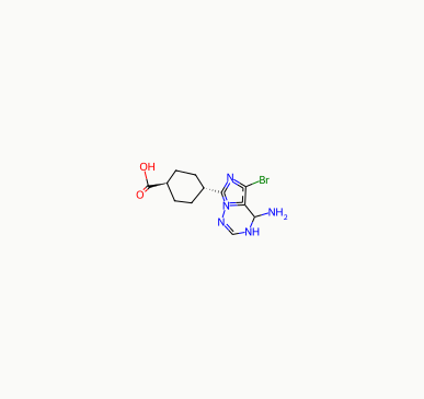 NC1NC=Nn2c1c(Br)nc2[C@H]1CC[C@H](C(=O)O)CC1